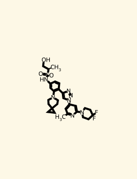 Cc1cc(-n2cc(-c3ccc(NS(=O)(=O)[C@H](C)CO)cc3N3CCC4(CC3)CC4)nn2)cc(N2CCC(F)(F)CC2)n1